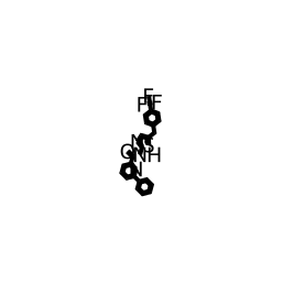 O=C(Nc1ncc(Cc2ccc(C(F)(F)F)cc2)s1)c1cccc(-c2ccccc2)n1